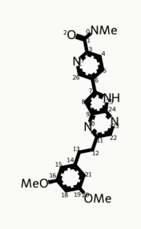 CNC(=O)c1ccc(-c2cc3nc(CCc4cc(OC)cc(OC)c4)cnc3[nH]2)cn1